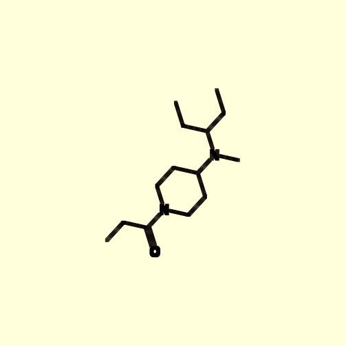 CCC(=O)N1CCC(N(C)C(CC)CC)CC1